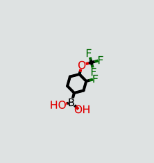 OB(O)C1CCC(OC(F)(F)F)C(F)C1